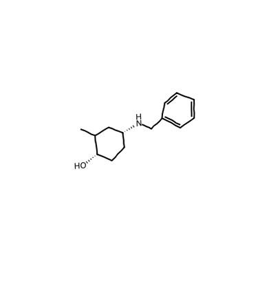 CC1C[C@H](NCc2ccccc2)CC[C@@H]1O